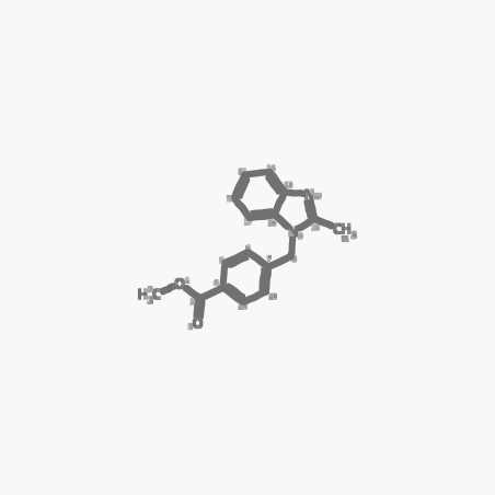 COC(=O)c1ccc(Cn2c(C)nc3ccccc32)cc1